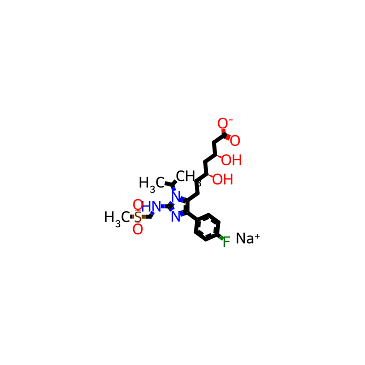 CC(C)n1c(NCS(C)(=O)=O)nc(-c2ccc(F)cc2)c1CC[C@@H](O)C[C@@H](O)CC(=O)[O-].[Na+]